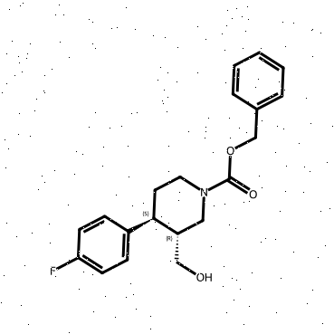 O=C(OCc1ccccc1)N1CC[C@H](c2ccc(F)cc2)[C@@H](CO)C1